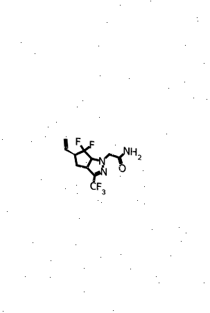 C=C[C@@H]1CC2C(C(F)(F)F)=NN(CC(N)=O)C2C1(F)F